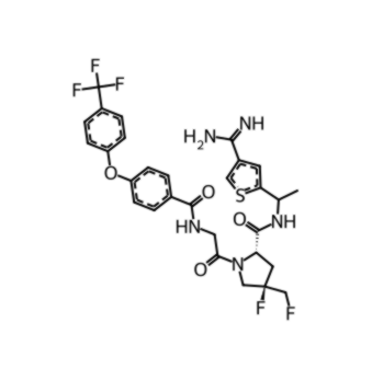 CC(NC(=O)[C@@H]1C[C@](F)(CF)CN1C(=O)CNC(=O)c1ccc(Oc2ccc(C(F)(F)F)cc2)cc1)c1cc(C(=N)N)cs1